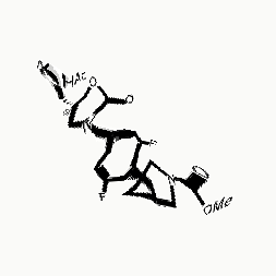 COC(=O)N1CC2CC2(c2c(F)cc(N3C[C@H](CNC(C)=O)OC3=O)cc2F)C1